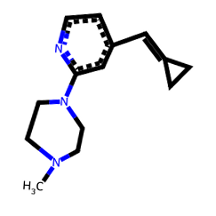 CN1CCN(c2cc(C=C3CC3)ccn2)CC1